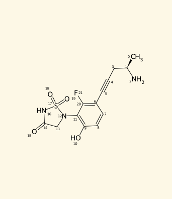 C[C@@H](N)CC#Cc1ccc(O)c(N2CC(=O)NS2(=O)=O)c1F